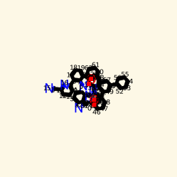 Cc1cccc(-n2c3c(-c4cccc(C#N)n4)cccc3c3cccc(-c4cccc(C#N)n4)c32)c1C(=O)N(C=O)c1c(-c2ccccc2)cc(-c2ccccc2)cc1-c1ccccc1